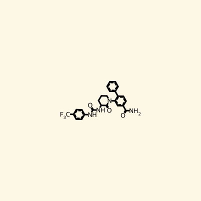 NC(=O)c1ccc(-c2ccccc2)c(N2CCCC(NC(=O)Nc3ccc(C(F)(F)F)cc3)C2=O)c1